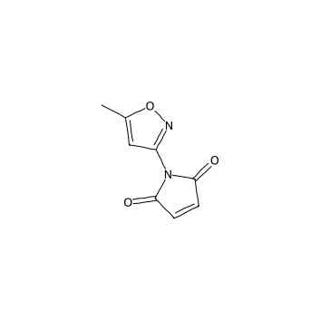 Cc1cc(N2C(=O)C=CC2=O)no1